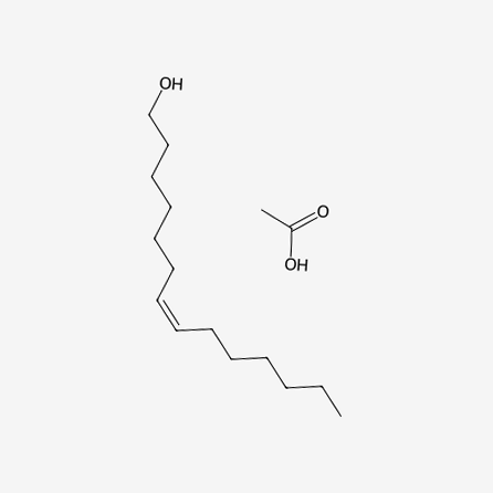 CC(=O)O.CCCCCC/C=C\CCCCCCO